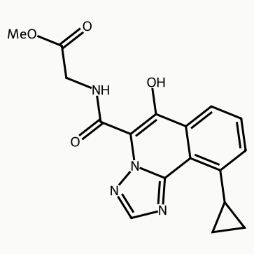 COC(=O)CNC(=O)c1c(O)c2cccc(C3CC3)c2c2ncnn12